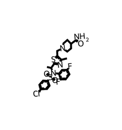 Cc1nc(C(C)N(c2cc(F)ccc2F)S(=O)(=O)c2ccc(Cl)cc2)sc1CN1CCC(C(N)=O)CC1